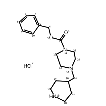 Cl.O=C(OCc1ccccc1)N1CCN(CC2CCNCC2)CC1